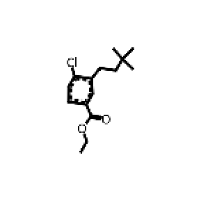 CCOC(=O)c1ccc(Cl)c(CCC(C)(C)C)c1